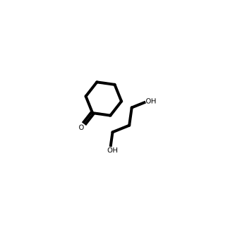 O=C1CCCCC1.OCCCO